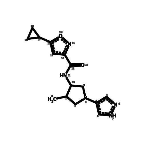 CC1CN(c2cn[nH]c2)CC1NC(=O)c1cc(C2CC2)on1